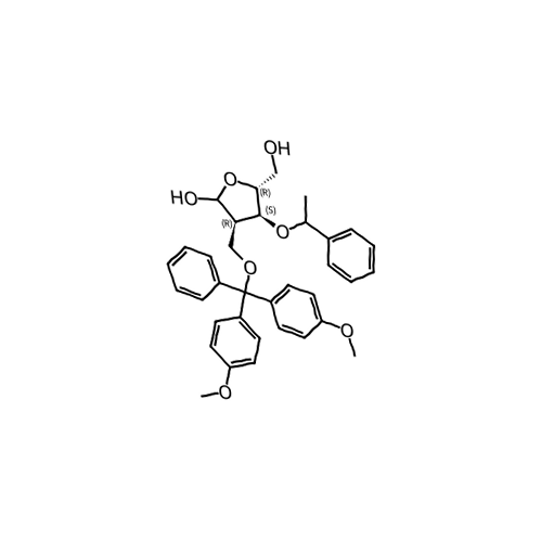 COc1ccc(C(OC[C@H]2C(O)O[C@H](CO)[C@H]2OC(C)c2ccccc2)(c2ccccc2)c2ccc(OC)cc2)cc1